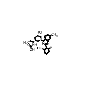 CCC(NC(=O)O)[C@H]1CCCN(c2nc(-c3c(O)cccc3F)nc3cc(C)ccc23)C1.Cl